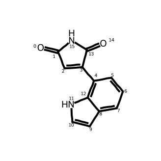 O=C1C=C(c2cccc3cc[nH]c23)C(=O)N1